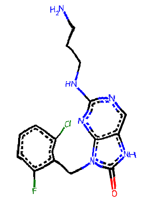 NCCCNc1ncc2[nH]c(=O)n(Cc3c(F)cccc3Cl)c2n1